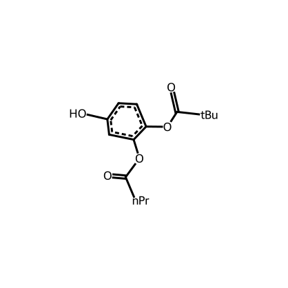 CCCC(=O)Oc1cc(O)ccc1OC(=O)C(C)(C)C